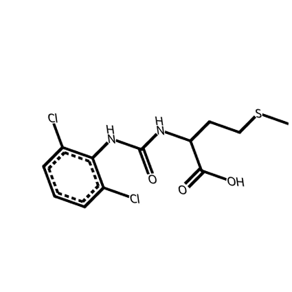 CSCCC(NC(=O)Nc1c(Cl)cccc1Cl)C(=O)O